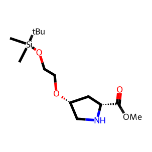 COC(=O)[C@H]1C[C@@H](OCCO[Si](C)(C)C(C)(C)C)CN1